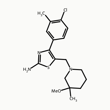 COC1(C)CCCN(Cc2sc(N)nc2-c2ccc(Cl)c(C)c2)C1